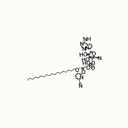 CCCCCCCCCCCCCCCCCCOC[C@H](COP(=O)(O)OC1[C@@]2(C#N)O[C@@H](c3ccc4c(NC)ncnn34)[C@H](O)[C@@]12O)Oc1cccc(C#N)n1